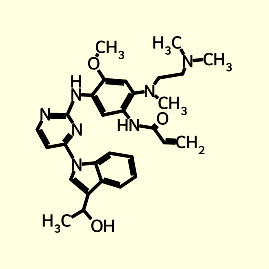 C=CC(=O)Nc1cc(Nc2nccc(-n3cc(C(C)O)c4ccccc43)n2)c(OC)cc1N(C)CCN(C)C